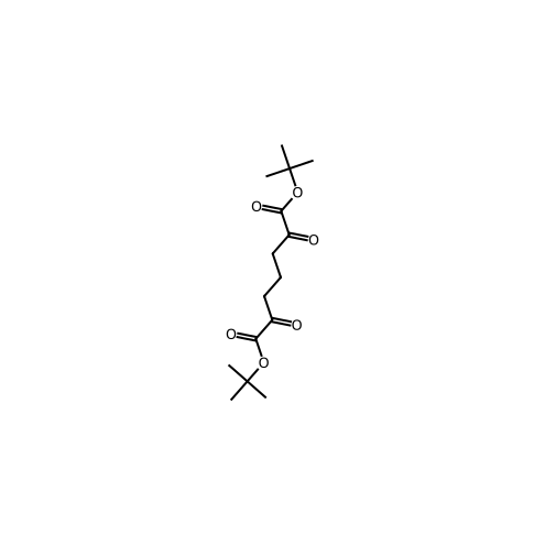 CC(C)(C)OC(=O)C(=O)CCCC(=O)C(=O)OC(C)(C)C